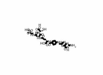 Nc1nc2ncc(CNc3ccc(C(=O)N[C@@H](CCC(=O)N[C@@H](CC(=O)NCCS(=O)(=O)O)C(=O)N[C@@H](CS)C(=O)O)C(=O)O)cc3)nc2c(=O)[nH]1